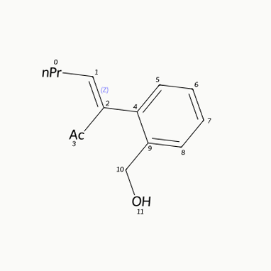 CCC/C=C(\C(C)=O)c1ccccc1CO